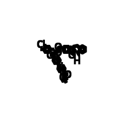 Cc1ccc(C[C@@H](OC(=O)N2CCC(N3CCc4ccccc4NC3=O)CC2)C(=O)N2CCC(N3CCN(C(=O)OC(C)(C)C)CC3)CC2)cc1Cl